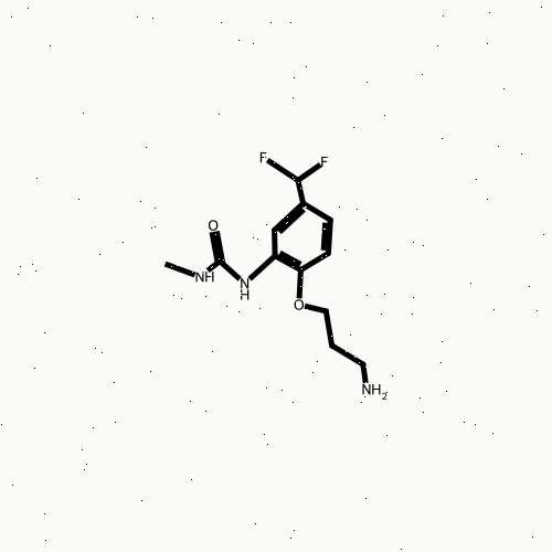 CNC(=O)Nc1cc(C(F)F)ccc1OCCCN